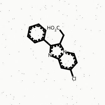 O=C(O)Cc1c(-c2ccccc2)nc2cc(Cl)ccn12